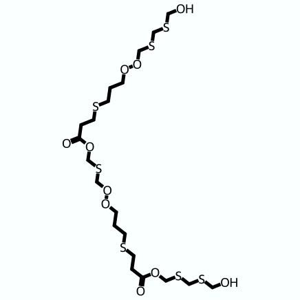 O=C(CCSCCCOOCSCSCO)OCSCOOCCCSCCC(=O)OCSCSCO